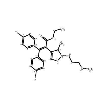 CCOC(=O)C(C1=NNN(OCCOC)N1C)=C(c1ccc(F)cc1)c1ccc(F)cc1